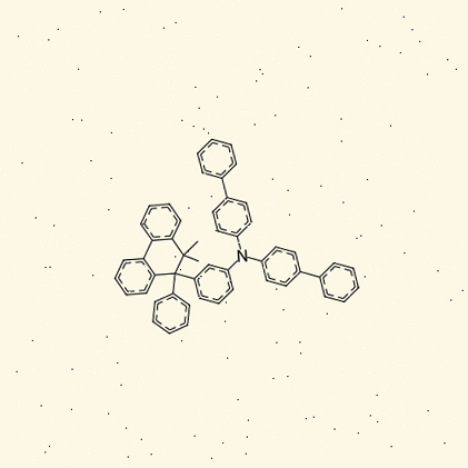 CC1(C)c2ccccc2-c2ccccc2C1(c1ccccc1)c1cccc(N(c2ccc(-c3ccccc3)cc2)c2ccc(-c3ccccc3)cc2)c1